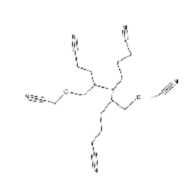 N#CCCCC(COCC#N)C(CCCC#N)C(CCC#N)COCC#N